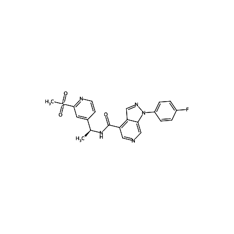 C[C@H](NC(=O)c1cncc2c1cnn2-c1ccc(F)cc1)c1ccnc(S(C)(=O)=O)c1